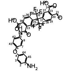 Nc1ccc(Oc2ccc(NC(=O)c3cc(C(c4ccc(C=O)c(C(=O)O)c4)(C(F)(F)F)C(F)(F)F)ccc3C(=O)O)cc2)cc1